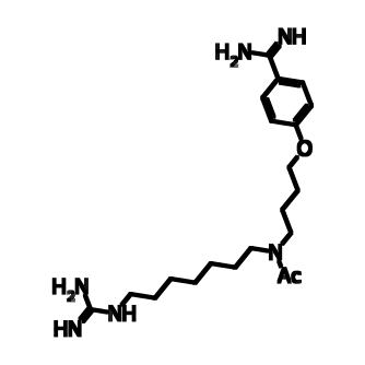 CC(=O)N(CCCCCCCNC(=N)N)CCCCOc1ccc(C(=N)N)cc1